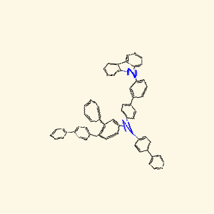 c1ccc(-c2ccc(-c3ccc(N(c4ccc(-c5ccccc5)cc4)c4ccc(-c5cccc(-n6c7ccccc7c7ccccc76)c5)cc4)cc3-c3ccccc3)cc2)cc1